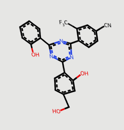 N#Cc1ccc(-c2nc(-c3ccccc3O)nc(-c3ccc(CO)cc3O)n2)c(C(F)(F)F)c1